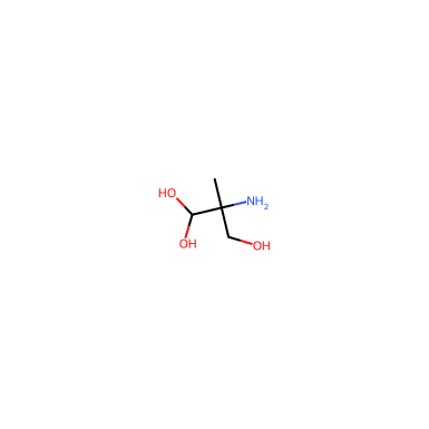 CC(N)(CO)C(O)O